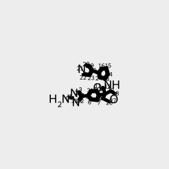 Nc1ncc(-c2ccc(C3(C(=O)Nc4cccc(-c5ccncc5)c4)CCOCC3)cc2)cn1